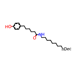 CCCCCCCCCCCCCCCCCCNC(=O)CCCCCc1ccc(O)cc1